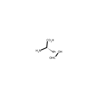 CC(C)[C@H](N)C(=O)O.O=CO